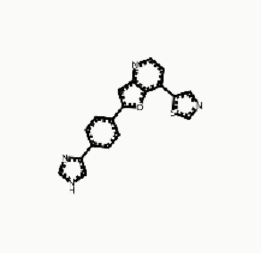 c1cc(-c2cncs2)c2oc(-c3ccc(-c4c[nH]cn4)cc3)cc2n1